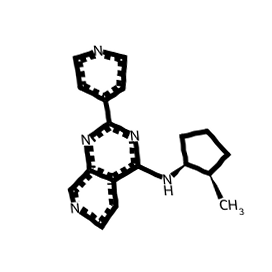 C[C@@H]1CCC[C@@H]1Nc1nc(-c2ccncc2)nc2cnccc12